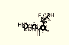 Cc1cc(Nc2nccc(OC3CCNCC3)n2)cc(-c2cnc(C(C)(O)C(F)(F)F)s2)c1